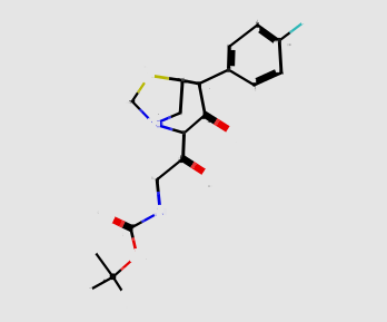 CC(C)(C)OC(=O)NCC(=O)C1C(=O)C(c2ccc(F)cc2)C2CN1CS2